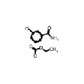 CCOC(=O)Cl.NC(=O)c1cccc(Cl)c1